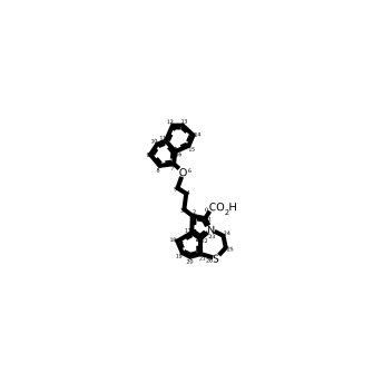 O=C(O)c1c(CCCOc2cccc3ccccc23)c2cccc3c2n1CCS3